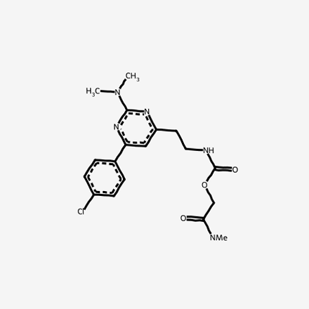 CNC(=O)COC(=O)NCCc1cc(-c2ccc(Cl)cc2)nc(N(C)C)n1